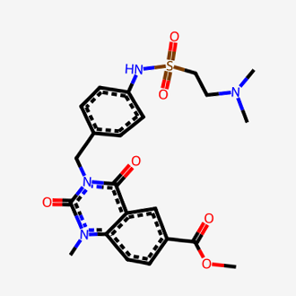 COC(=O)c1ccc2c(c1)c(=O)n(Cc1ccc(NS(=O)(=O)CCN(C)C)cc1)c(=O)n2C